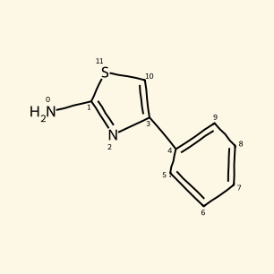 Nc1nc(-c2[c]cccc2)cs1